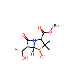 C[C@@H](O)[C@@H]1C(=O)N2[C@@H]1[S+]([O-])C(C)(C)[C@@H]2C(=O)OC(C)(C)C